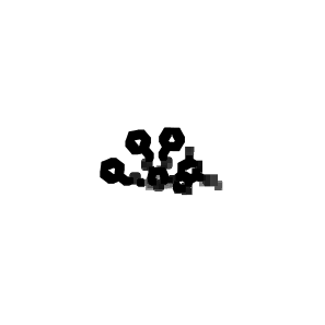 Nc1nc(F)cc2c1ncn2[C@H]1O[C@H](COCc2ccccc2)[C@@H](OCc2ccccc2)[C@@H]1OCc1ccccc1